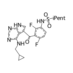 CCCC(C)S(=O)(=O)Nc1ccc(F)c(C(=O)c2c[nH]c3ncnc(NCC4CC4)c23)c1F